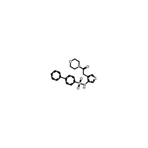 O=C(Cc1cscc1NS(=O)(=O)c1ccc(-c2ccccc2)cc1)N1CCOCC1